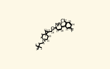 CC(C)(C)CCN1CCC2(CC1)CC2COc1ccc(-c2cc(F)ccc2Cl)nn1